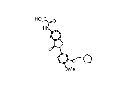 COc1ccc(N2Cc3ccc(NC(=O)C(=O)O)cc3C2=O)cc1OCC1CCCC1